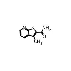 Cc1c(C(N)=O)sc2ncccc12